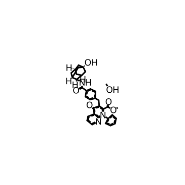 CO.COC(=O)c1c(Cc2ccc(C(=O)N[C@H]3[C@@H]4C[C@H]5C[C@H]3C[C@](O)(C5)C4)cc2)c(=O)c2cccnc2n1-c1ccccc1